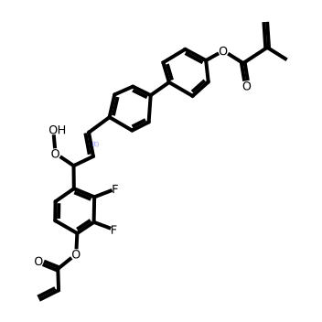 C=CC(=O)Oc1ccc(C(/C=C/c2ccc(-c3ccc(OC(=O)C(=C)C)cc3)cc2)OO)c(F)c1F